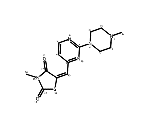 CN1CCN(c2nccc(C=C3SC(=O)N(C)C3=O)n2)CC1